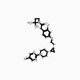 CC1(C)CCN1C(=O)Cc1ccc(OCC[C@@H]2C[C@@H]2C2CCN(c3ncc(Cl)cn3)CC2)cc1F